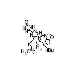 CC[C@H](C)CCCC(C)n1c(N2CCOC3CCCC32)nc2nc(-c3noc(=O)[nH]3)nc(C/C=N\C=C(/C)Cl)c21